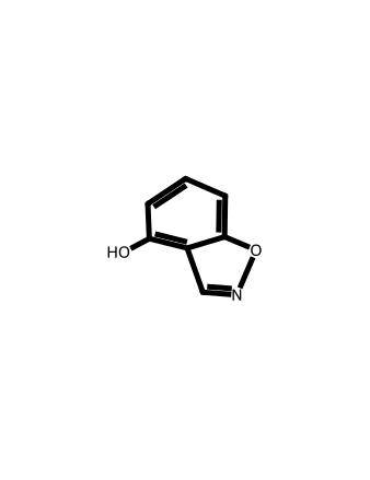 Oc1cccc2oncc12